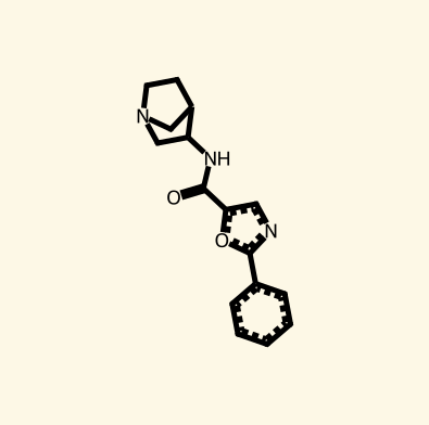 O=C(NC1CN2CCC1C2)c1cnc(-c2ccccc2)o1